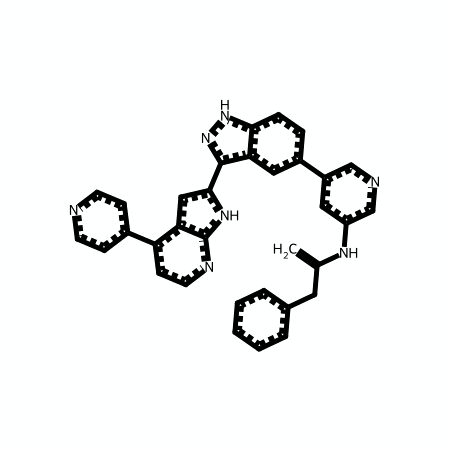 C=C(Cc1ccccc1)Nc1cncc(-c2ccc3[nH]nc(-c4cc5c(-c6ccncc6)ccnc5[nH]4)c3c2)c1